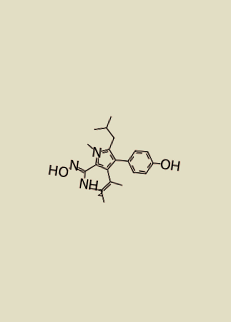 CC(C)=C(C)c1c(-c2ccc(O)cc2)c(CC(C)C)n(C)c1/C(N)=N/O